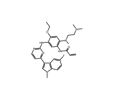 C=CC(=O)Nc1cc(Nc2nccc(-c3cn(C)c4ccc(F)cc34)n2)c(OCC)cc1N(C)CCN(C)C